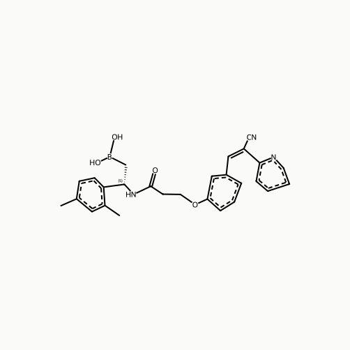 Cc1ccc([C@H](CB(O)O)NC(=O)CCOc2cccc(C=C(C#N)c3ccccn3)c2)c(C)c1